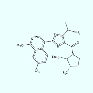 CCOC(=O)C1[C@@H](C(F)(F)F)CCN1C(=O)c1nc(-c2ccc(OC)c3nc(C(F)(F)F)ccc23)oc1C(C)N